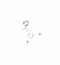 CC(=O)OC[C@@H]1C[C@H](OC(C)=O)C[C@H](OCC(CO)c2ccccc2)O1